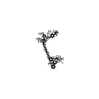 Cc1ncsc1-c1ccc(CNC(=O)[C@@H]2C[C@@H](O)CN2C(=O)[C@@H](NC(=O)COCCOCCOCCOc2cc(F)c([C@@H]3c4[nH]c5ccccc5c4C[C@@H](C)N3C[C@H](C)CO)c(F)c2)C(C)(C)C)cc1